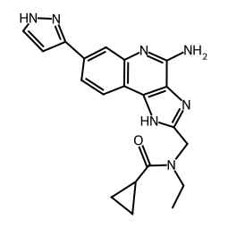 CCN(Cc1nc2c(N)nc3cc(-c4cc[nH]n4)ccc3c2[nH]1)C(=O)C1CC1